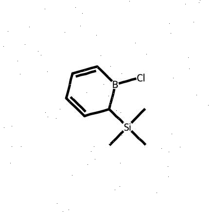 C[Si](C)(C)C1C=CC=CB1Cl